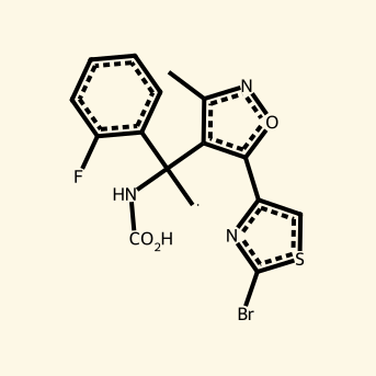 [CH2]C(NC(=O)O)(c1ccccc1F)c1c(C)noc1-c1csc(Br)n1